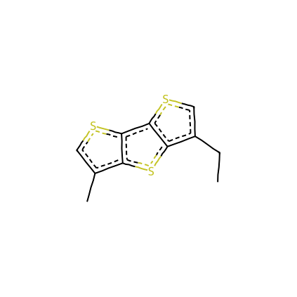 CCc1csc2c1sc1c(C)csc12